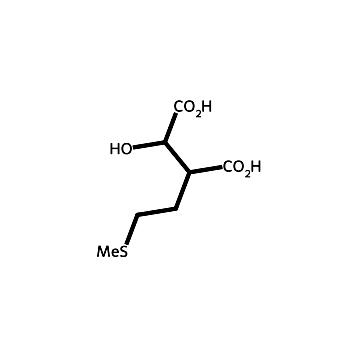 CSCCC(C(=O)O)C(O)C(=O)O